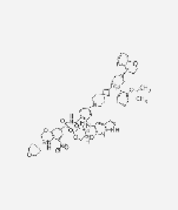 CC(C)Oc1ccccc1[C@@H]1CN([C@@H]2CCOc3cccnc32)CCN1C1CC2(CCN(c3ccc(C(=O)NS(=O)(=O)c4cc5c(c([N+](=O)[O-])c4)N[C@H](C4CCOCC4)CO5)c(N4c5cc6cc[nH]c6nc5O[C@H]5COCC[C@@H]54)c3)CC2)C1